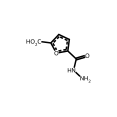 NNC(=O)c1ccc(C(=O)O)o1